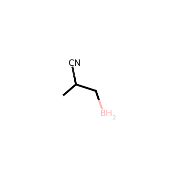 BCC(C)C#N